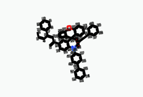 C=C(/C=C(\C=C/C)c1ccccc1)c1ccc2c(c1)C1(c3ccccc3Oc3ccccc31)c1cc(-c3ccccc3)ccc1N2c1ccc(-c2ccccc2)cc1